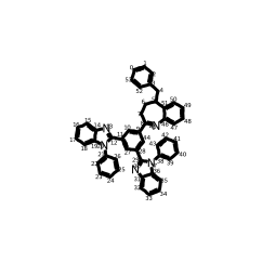 c1ccc(CC2CCC(c3cc(-c4nc5ccccc5n4-c4ccccc4)cc(-c4nc5ccccc5n4-c4ccccc4)c3)=Nc3ccccc32)cc1